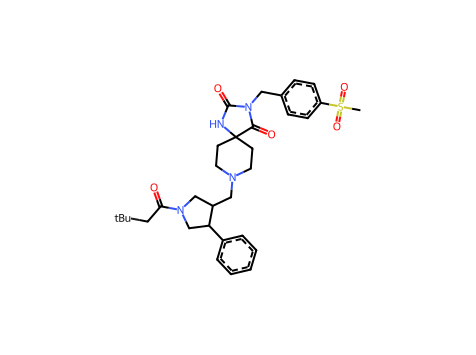 CC(C)(C)CC(=O)N1CC(CN2CCC3(CC2)NC(=O)N(Cc2ccc(S(C)(=O)=O)cc2)C3=O)C(c2ccccc2)C1